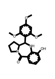 COc1cc(OC)c(C2Nc3c(O)cccc3C(=O)N3CCCC23)c(OC)c1